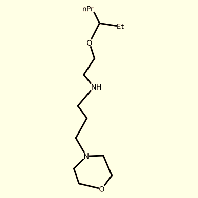 CCCC(CC)OCCNCCCN1CCOCC1